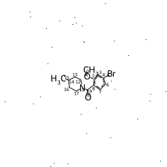 COc1cc(Br)ccc1C(=O)N1CCC(C)CC1